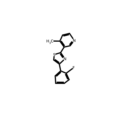 Cc1ccncc1-c1nc(-c2ccccc2F)cs1